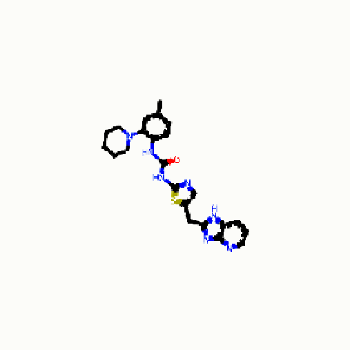 Cc1ccc(NC(=O)Nc2ncc(Cc3nc4ncccc4[nH]3)s2)c(N2CCCCC2)c1